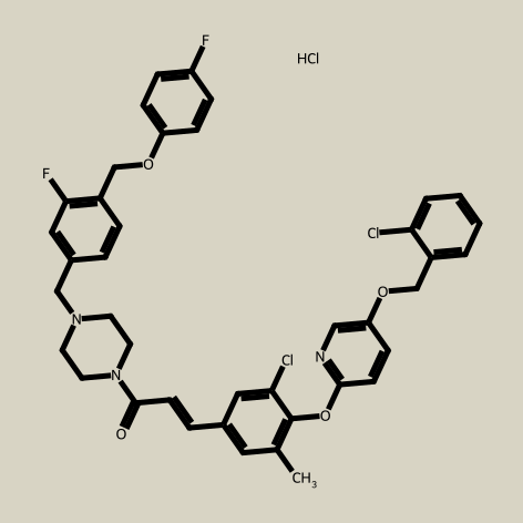 Cc1cc(/C=C/C(=O)N2CCN(Cc3ccc(COc4ccc(F)cc4)c(F)c3)CC2)cc(Cl)c1Oc1ccc(OCc2ccccc2Cl)cn1.Cl